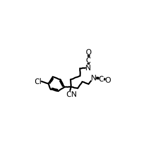 N#CC(CCCN=C=O)(CCCN=C=O)c1ccc(Cl)cc1